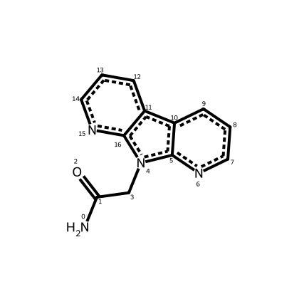 NC(=O)Cn1c2ncccc2c2cccnc21